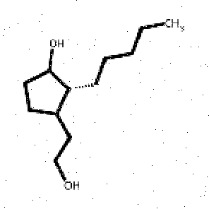 CCCCC[C@H]1C(O)CCC1CCO